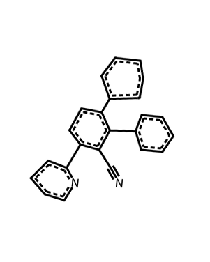 N#Cc1c(-c2ccccn2)ccc(-c2ccccc2)c1-c1ccccc1